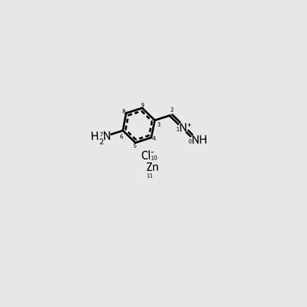 N=[N+]=Cc1ccc(N)cc1.[Cl-].[Zn]